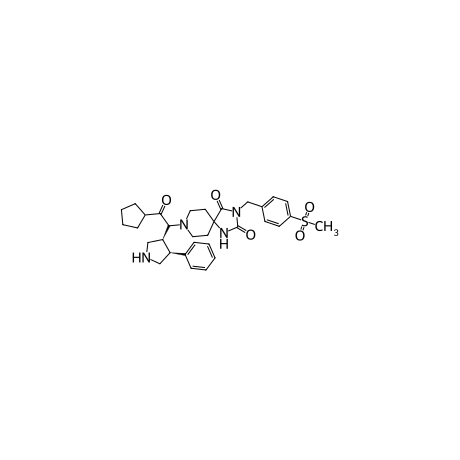 CS(=O)(=O)c1ccc(CN2C(=O)NC3(CCN(C(C(=O)C4CCCC4)[C@@H]4CNC[C@@H]4c4ccccc4)CC3)C2=O)cc1